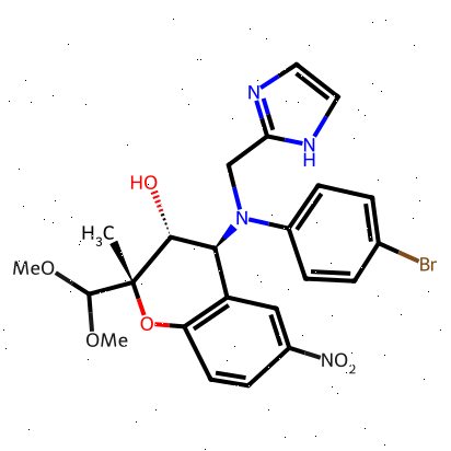 COC(OC)[C@@]1(C)Oc2ccc([N+](=O)[O-])cc2[C@H](N(Cc2ncc[nH]2)c2ccc(Br)cc2)[C@H]1O